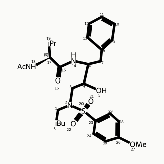 CCC(C)CN(CC(O)C(Cc1ccccc1)NC(=O)[C@@H](NC(C)=O)C(C)C)S(=O)(=O)c1ccc(OC)cc1